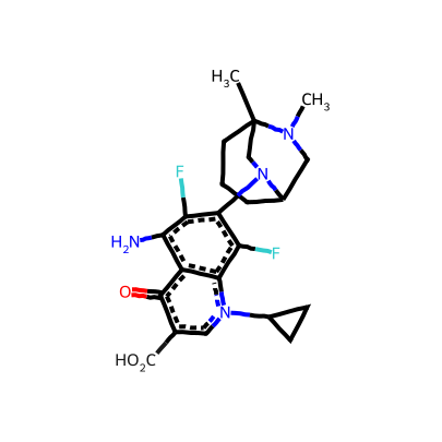 CN1CC2CCCC1(C)CN2c1c(F)c(N)c2c(=O)c(C(=O)O)cn(C3CC3)c2c1F